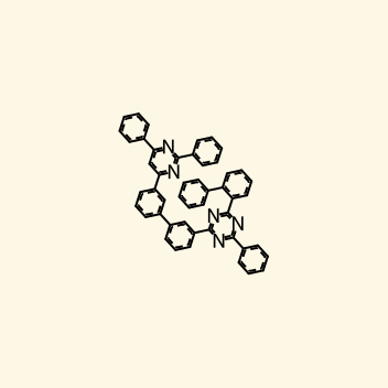 c1ccc(-c2cc(-c3cccc(-c4cccc(-c5nc(-c6ccccc6)nc(-c6ccccc6-c6ccccc6)n5)c4)c3)nc(-c3ccccc3)n2)cc1